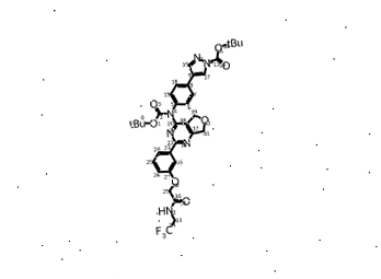 CC(C)(C)OC(=O)N(c1ccc(-c2cnn(C(=O)OC(C)(C)C)c2)cc1)c1nc(-c2cccc(OCC(=O)NCC(F)(F)F)c2)nc2c1COC2